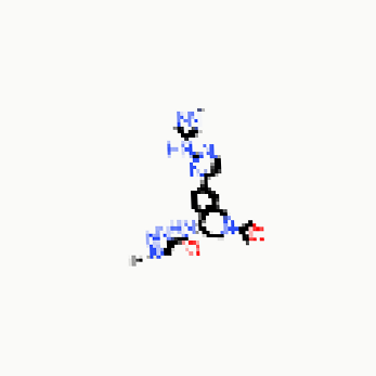 CC(C)n1cc(C(=O)N[C@H]2CCN(C3COC3)Cc3cc(-c4ccnc(Nc5cnn(C)c5)n4)ccc32)nn1